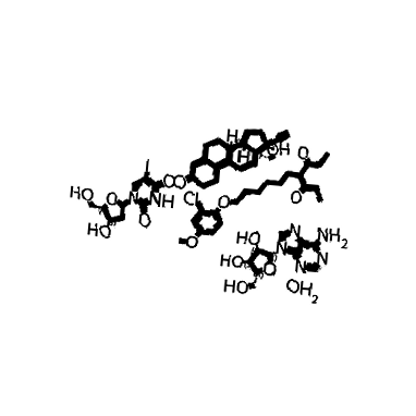 C#C[C@]1(O)CC[C@H]2[C@@H]3CCC4=CC(=O)CCC4=C3C=C[C@@]21CC.CCC(=O)C(CCCCCCOc1ccc(OC)cc1Cl)C(=O)CC.Nc1ncnc2c1ncn2[C@@H]1O[C@H](CO)[C@@H](O)[C@@H]1O.O.O=c1[nH]c(=O)n(C2C[C@H](O)[C@@H](CO)O2)cc1I